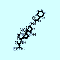 CCC(CC)C(=O)Nc1ncnn2c([C@]3(C#N)O[C@@H](COC(=O)CC4CCCCC4)[CH][C@H]3O)ccc12